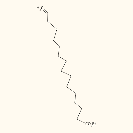 C=CCCCCCCCCCCCCCC(=O)OCC